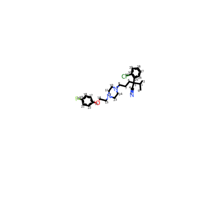 CC(C)C(C#N)(CCCN1CCN(CCOc2ccc(F)cc2)CC1)c1ccccc1Cl